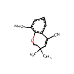 COc1cccc2c1OCC(C)(C)C=C2C#N